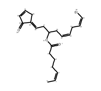 C/C=C\CCCC(=O)OC(C/C=C\C/C=C\CC)C/C=C1\CC=CC1=O